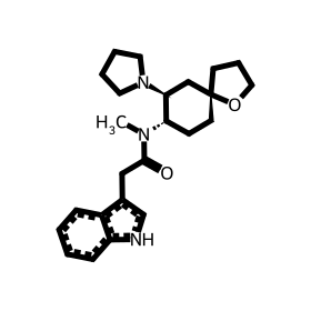 CN(C(=O)Cc1c[nH]c2ccccc12)[C@H]1CC[C@]2(CCCO2)C[C@@H]1N1CCCC1